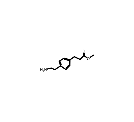 COC(=O)CCc1ccc(CCN)cc1